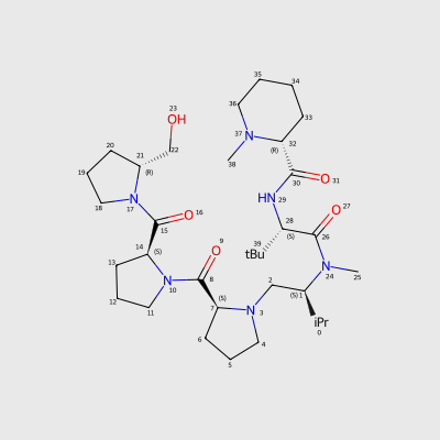 CC(C)[C@@H](CN1CCC[C@H]1C(=O)N1CCC[C@H]1C(=O)N1CCC[C@@H]1CO)N(C)C(=O)[C@@H](NC(=O)[C@H]1CCCCN1C)C(C)(C)C